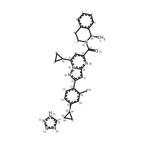 C[C@@H]1c2ccccc2CCN1C(=O)c1cc(C2CC2)n2nc(-c3ccc([C@H]4C[C@@H]4c4nnn[nH]4)cc3F)cc2n1